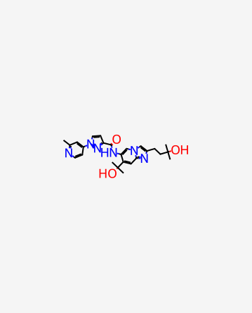 Cc1cc(-n2ccc(C(=O)Nc3cn4cc(CCC(C)(C)O)nc4cc3C(C)(C)O)n2)ccn1